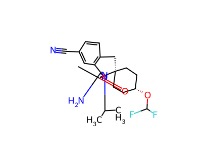 CC(C)N1C(=O)C2(N=C1N)c1cc(C#N)ccc1C[C@]21CC[C@@H](OC(F)F)CC1